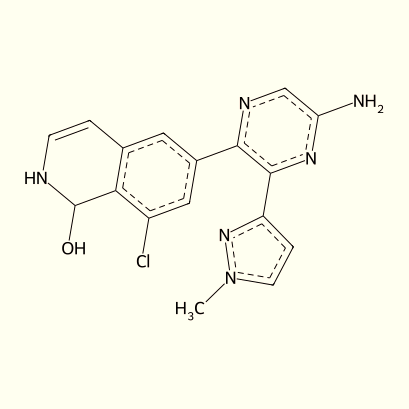 Cn1ccc(-c2nc(N)cnc2-c2cc(Cl)c3c(c2)C=CNC3O)n1